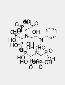 O=P(O)(O)C(N(CCN(CCN(C(P(=O)(O)O)P(=O)(O)O)C(P(=O)(O)O)P(=O)(O)O)c1ccccc1)C(P(=O)(O)O)P(=O)(O)O)P(=O)(O)O